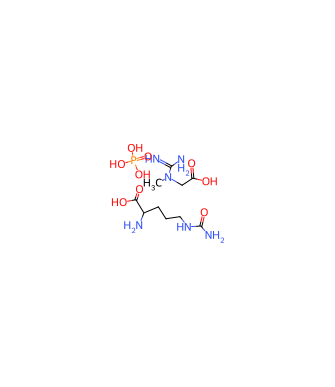 CN(CC(=O)O)C(=N)N.NC(=O)NCCCC(N)C(=O)O.O=P(O)(O)O